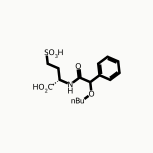 CCCCOC(C(=O)N[C@@H](CCS(=O)(=O)O)C(=O)O)c1ccccc1